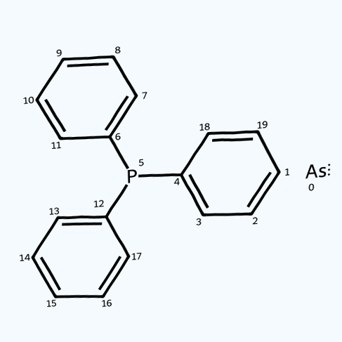 [As].c1ccc(P(c2ccccc2)c2ccccc2)cc1